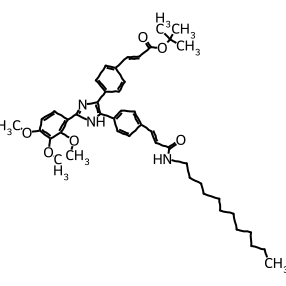 CCCCCCCCCCCCNC(=O)C=Cc1ccc(-c2[nH]c(-c3ccc(OC)c(OC)c3OC)nc2-c2ccc(C=CC(=O)OC(C)(C)C)cc2)cc1